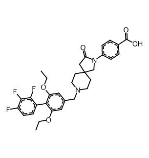 CCOc1cc(CN2CCC3(CC2)CC(=O)N(c2ccc(C(=O)O)cc2)C3)cc(OCC)c1-c1ccc(F)c(F)c1F